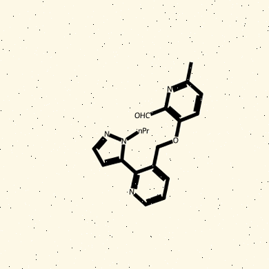 CCCn1nccc1-c1ncccc1COc1ccc(C)nc1C=O